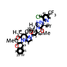 CC[C@H](C)[C@@H]([C@@H](CC(=O)N1CCC[C@H]1[C@H](OC)[C@@H](C)C(=O)N[C@@H](Cc1ccccc1)C(=O)OC)OC)N(C)C(=O)[C@@H](Nc1ncc(C(F)(F)F)cc1Cl)C(C)C